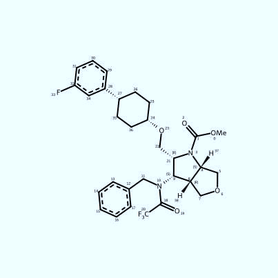 COC(=O)N1[C@@H]2COC[C@@H]2[C@H](N(Cc2ccccc2)C(=O)C(F)(F)F)[C@@H]1CO[C@H]1CC[C@@H](c2cccc(F)c2)CC1